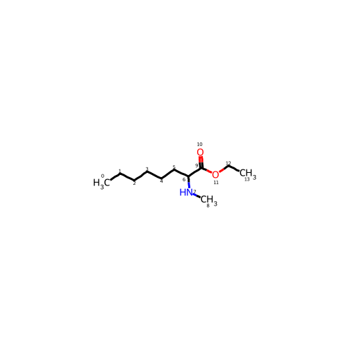 CCCCCCC(NC)C(=O)OCC